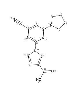 N#Cc1cc(N2CCCC2)nc(-n2cc(C(=O)O)cn2)n1